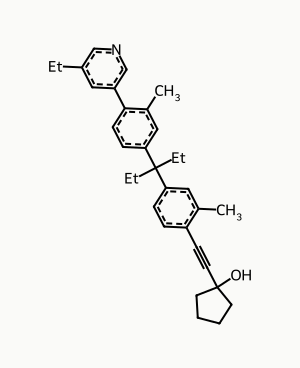 CCc1cncc(-c2ccc(C(CC)(CC)c3ccc(C#CC4(O)CCCC4)c(C)c3)cc2C)c1